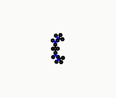 c1ccc(-c2c(-c3ccccc3)n(-c3ccccc3)c3cc(N(c4ccccc4)c4ccc(-c5c6ccccc6c(-c6ccc(N(c7ccccc7)c7ccc8c(-c9ccccc9)c(-c9ccccc9)n(-c9ccccc9)c8c7)cc6)c6ccccc56)cc4)ccc23)cc1